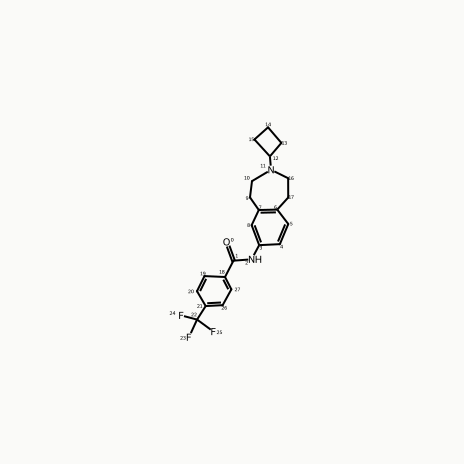 O=C(Nc1ccc2c(c1)CCN(C1CCC1)CC2)c1ccc(C(F)(F)F)cc1